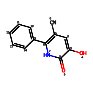 N#Cc1cc(O)c(=O)[nH]c1-c1ccccc1